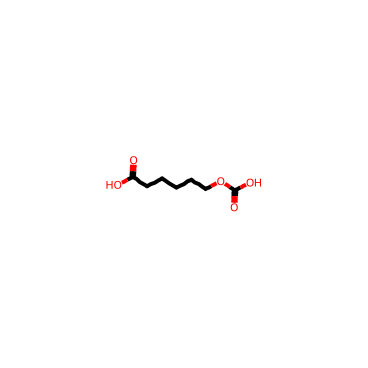 O=C(O)CCCCCOC(=O)O